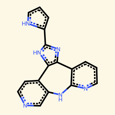 c1c[nH]c(-c2nc3c([nH]2)-c2ccncc2Nc2ncccc2-3)c1